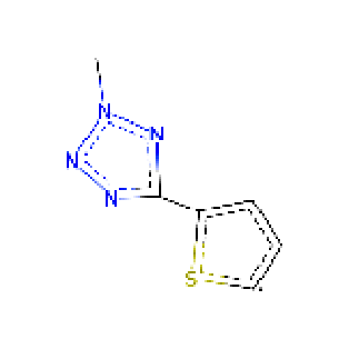 Cn1nnc(-c2cc[c]s2)n1